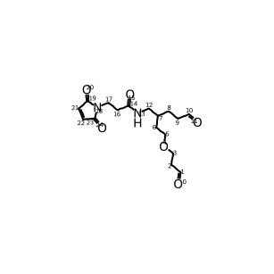 O=CCCOCCC(CCC=O)CNC(=O)CCN1C(=O)C=CC1=O